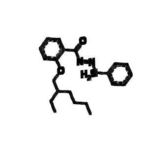 CCCCC(CC)COc1ccccc1C(=O)N=N[SiH2]c1ccccc1